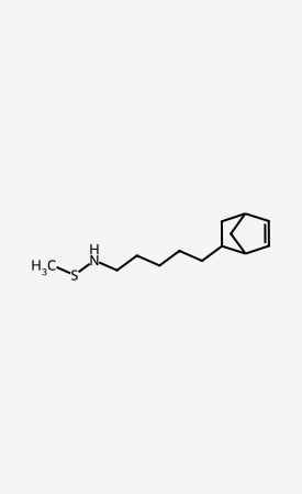 CSNCCCCCC1CC2C=CC1C2